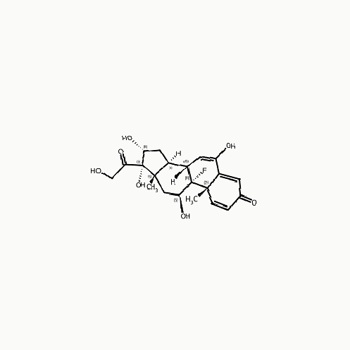 C[C@]12C=CC(=O)C=C1C(O)=C[C@H]1[C@@H]3C[C@@H](O)[C@](O)(C(=O)CO)[C@@]3(C)C[C@H](O)[C@@]12F